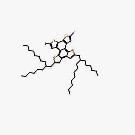 CCCCCCCCC(CCCCCC)Cc1cc2c3cc(CC(CCCCCC)CCCCCCCC)sc3c3c4cc(I)sc4c4sc(I)cc4c3c2s1